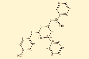 N#Cc1ccc(CCCN(C[C@H](O)c2ccccc2)C[C@H](O)c2ccccc2)cc1